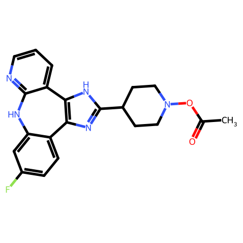 CC(=O)ON1CCC(c2nc3c([nH]2)-c2cccnc2Nc2cc(F)ccc2-3)CC1